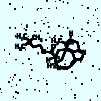 CC1C2=C3C4=CC=N[C@H](C[C@@H]1CC3=NC4)[C@H](C(=O)OCC[Si](C)(C)C)C2